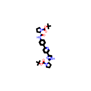 CC(C)(C)OC(=O)N1CCC[C@H]1C(=O)Nc1ccc(-c2ccc(-c3c[nH]c([C@@H]4CCCN4C(=O)OC(C)(C)C)n3)cn2)cc1